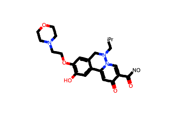 CC(C)CN1Cc2cc(OCCN3CCOCC3)c(O)cc2-c2cc(=O)c(C(=O)N=O)cn21